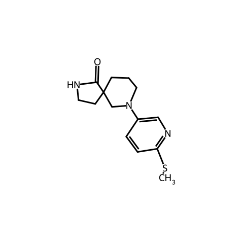 CSc1ccc(N2CCCC3(CCNC3=O)C2)cn1